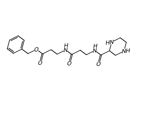 O=C(CCNC(=O)C1CNCCN1)NCCC(=O)OCc1ccccc1